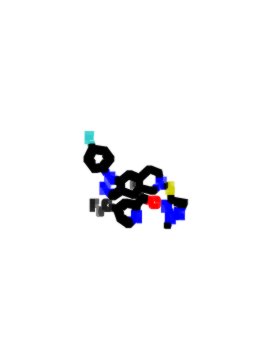 Cn1ncc(SN2CCC3=Cc4c(cnn4-c4ccc(F)cc4)C[C@]3(C(=O)c3cc(C(F)(F)F)ccn3)C2)n1